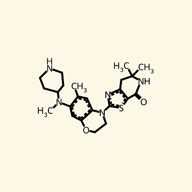 Cc1cc2c(cc1N(C)C1CCNCC1)OCCN2c1nc2c(s1)C(=O)NC(C)(C)C2